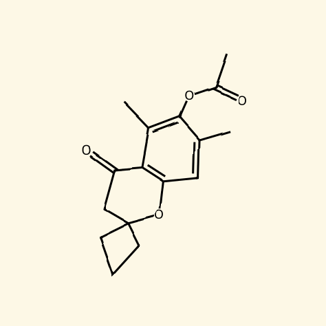 CC(=O)Oc1c(C)cc2c(c1C)C(=O)CC1(CCC1)O2